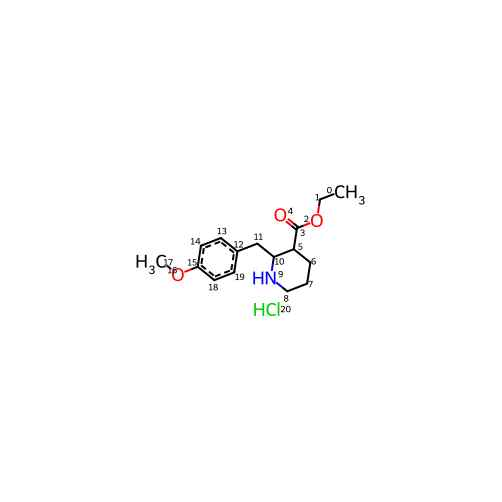 CCOC(=O)C1CCCNC1Cc1ccc(OC)cc1.Cl